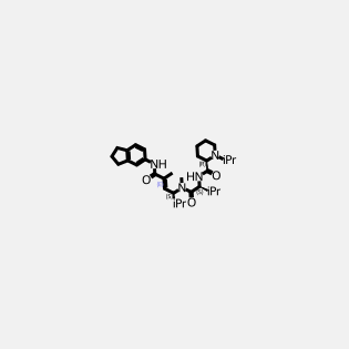 C/C(=C\[C@H](C(C)C)N(C)C(=O)[C@@H](NC(=O)[C@H]1CCCCN1C(C)C)C(C)C)C(=O)Nc1ccc2c(c1)CCC2